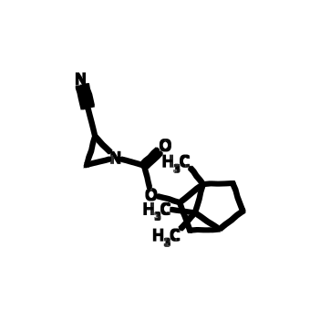 CC1(C)C2CCC1(C)C(OC(=O)N1CC1C#N)C2